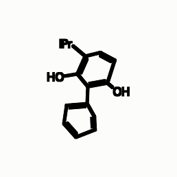 CC(C)c1ccc(O)c(-c2ccccc2)c1O